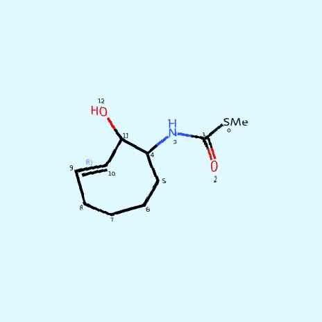 CSC(=O)NC1CCCC/C=C/C1O